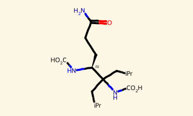 CC(C)CC(CC(C)C)(NC(=O)O)[C@H](CCC(N)=O)NC(=O)O